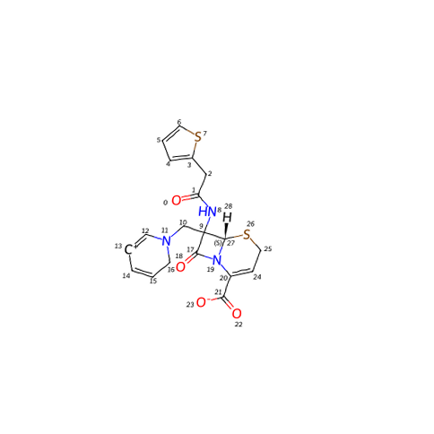 O=C(Cc1cccs1)NC1(CN2C=[C+]C=CC2)C(=O)N2C(C(=O)[O-])=CCS[C@H]21